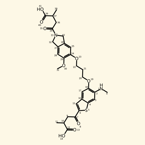 CNc1cc2sc(C(=O)CC(C)C(=O)O)cc2cc1OCCCOc1cc2c(cc1OC)CN(C(=O)CC(C)C(=O)O)C2